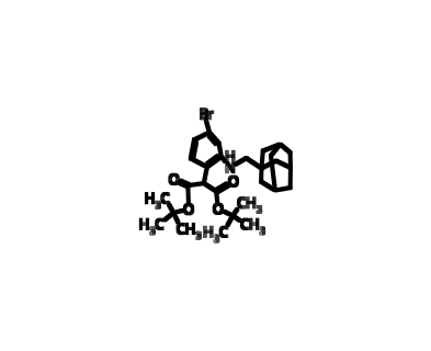 CC(C)(C)OC(=O)C(C(=O)OC(C)(C)C)c1ccc(Br)cc1NCC12CC3CC(CC(C3)C1)C2